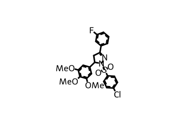 COc1cc(C2CC(c3cccc(F)c3)=NN2S(=O)(=O)c2ccc(Cl)cc2)cc(OC)c1OC